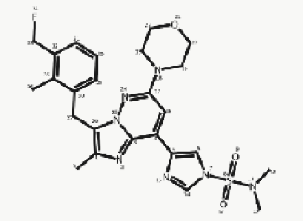 Cc1nc2c(-c3cn(S(=O)(=O)N(C)C)cn3)cc(N3CCOCC3)nn2c1Cc1cccc(CF)c1C